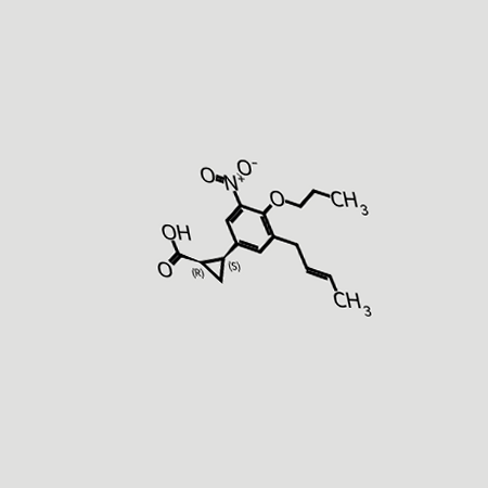 CC=CCc1cc([C@H]2C[C@H]2C(=O)O)cc([N+](=O)[O-])c1OCCC